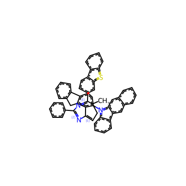 CC1C/C=C(c2c(-n3c4ccccc4c4cc5ccccc5cc43)ccc3c2Cc2ccccc2-3)/N=C(c2ccccc2)\N=C/1c1ccc2c(c1)sc1ccccc12